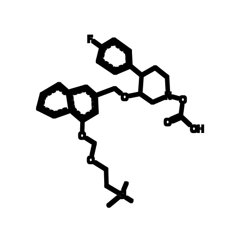 C[Si](C)(C)CCOCOc1cc(COC2CN(OC(=O)O)CCC2c2ccc(F)cc2)cc2ccccc12